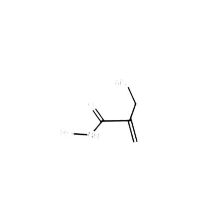 C=C(CCCC)C(=O)NO